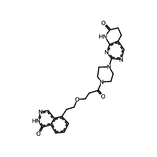 O=C1CCc2cnc(N3CCN(C(=O)CCOCCc4cccc5c(=O)[nH]ncc45)CC3)nc2N1